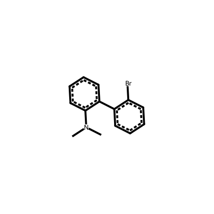 CN(C)c1ccccc1-c1ccccc1Br